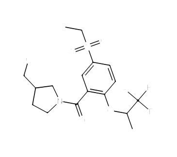 CCS(=O)(=O)c1ccc(OC(C)C(F)(F)F)c(C(=O)N2CCC(CO)C2)c1